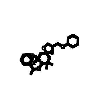 CCC1(CC)CC2(CC(C)(C)N1OC(C)c1ccccc1)OCC(COC1CCCCC1)O2